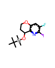 CC(C)(C)[Si](C)(C)OC1CCOc2cc(F)c(I)nc21